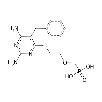 Nc1nc(N)c(Cc2ccccc2)c(OCCOCP(=O)(O)O)n1